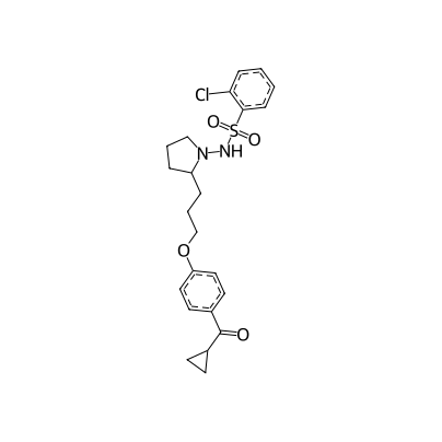 O=C(c1ccc(OCCCC2CCCN2NS(=O)(=O)c2ccccc2Cl)cc1)C1CC1